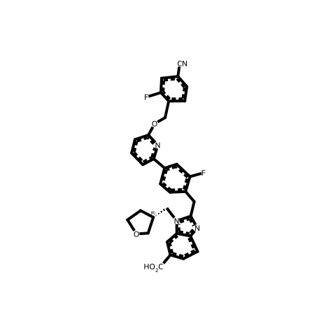 N#Cc1ccc(COc2cccc(-c3ccc(Cc4nc5ccc(C(=O)O)cc5n4C[C@H]4CCOC4)c(F)c3)n2)c(F)c1